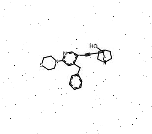 OC1(C#Cc2cnc(N3CCSCC3)cc2Cc2ccccc2)CN2CCC1CC2